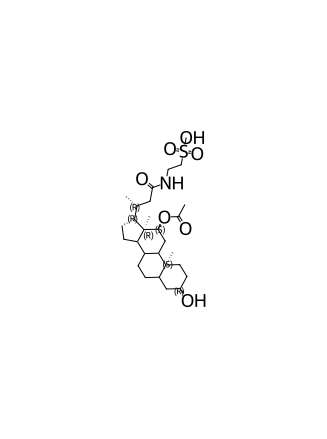 CC(=O)O[C@H]1CC2C(CCC3C[C@H](O)CC[C@@]32C)C2CC[C@H]([C@H](C)CC(=O)NCCS(=O)(=O)O)[C@]21C